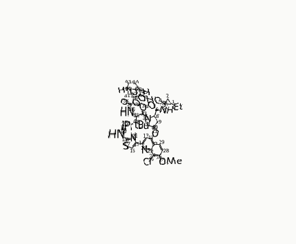 CCC1C[C@@]1(C=O)NC(=O)C1C[C@@H](Oc2cc(-c3csc(NC(C)C)n3)nc3c(Cl)c(OC)ccc23)CN1C(=O)C(NC(=O)OC1C[C@H]2CC[C@@H](C1)O2)C(C)(C)C